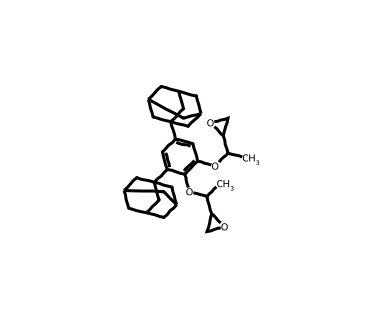 CC(Oc1cc(C23CC4CC(CC(C4)C2)C3)cc(C23CC4CC(CC(C4)C2)C3)c1OC(C)C1CO1)C1CO1